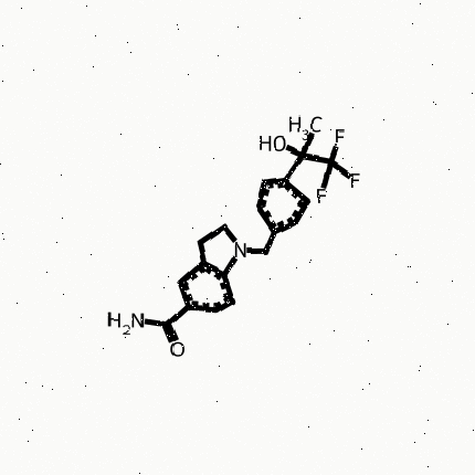 CC(O)(c1ccc(CN2CCc3cc(C(N)=O)ccc32)cc1)C(F)(F)F